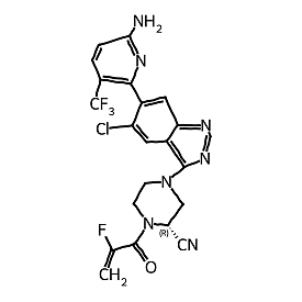 C=C(F)C(=O)N1CCN(c2ncnc3cc(-c4nc(N)ccc4C(F)(F)F)c(Cl)cc23)C[C@@H]1C#N